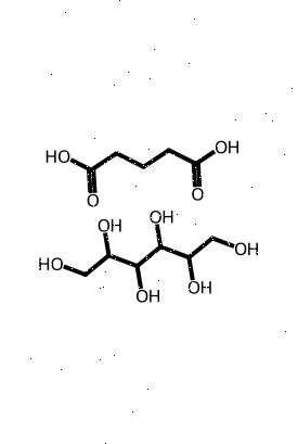 O=C(O)CCCC(=O)O.OCC(O)C(O)C(O)C(O)CO